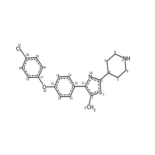 Cc1sc(C2CCNCC2)nc1-c1ccc(Oc2ccc(Cl)cc2)cc1